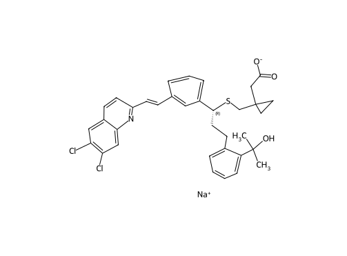 CC(C)(O)c1ccccc1CC[C@@H](SCC1(CC(=O)[O-])CC1)c1cccc(C=Cc2ccc3cc(Cl)c(Cl)cc3n2)c1.[Na+]